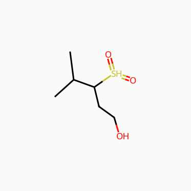 CC(C)C(CCO)[SH](=O)=O